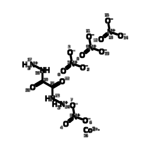 O=[N+]([O-])[O-].O=[N+]([O-])[O-].O=[N+]([O-])[O-].O=[N+]([O-])[O-].[Co+2].[NH3+]NC(=O)C(=O)N[NH3+]